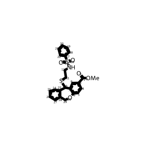 COC(=O)c1ccc2c(c1)C(SCCNS(=O)(=O)c1ccccc1)c1ccccc1CO2